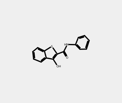 O=C(Nc1ccccc1)c1sc2ccccc2c1O